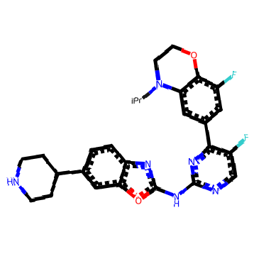 CC(C)N1CCOc2c(F)cc(-c3nc(Nc4nc5ccc(C6CCNCC6)cc5o4)ncc3F)cc21